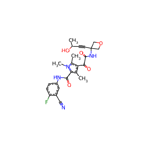 Cc1c(C(=O)C(=O)NC2(C#CC(C)O)COC2)c(C)n(C)c1C(=O)Nc1ccc(F)c(C#N)c1